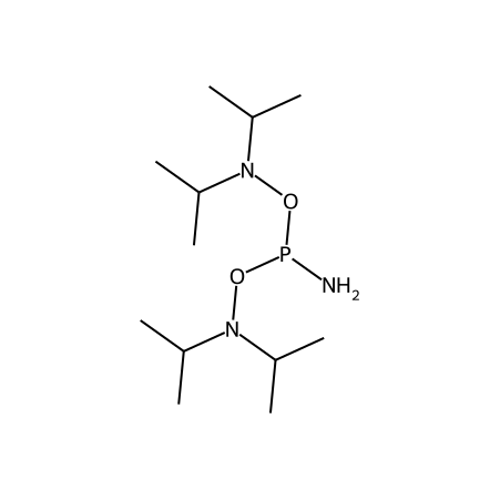 CC(C)N(OP(N)ON(C(C)C)C(C)C)C(C)C